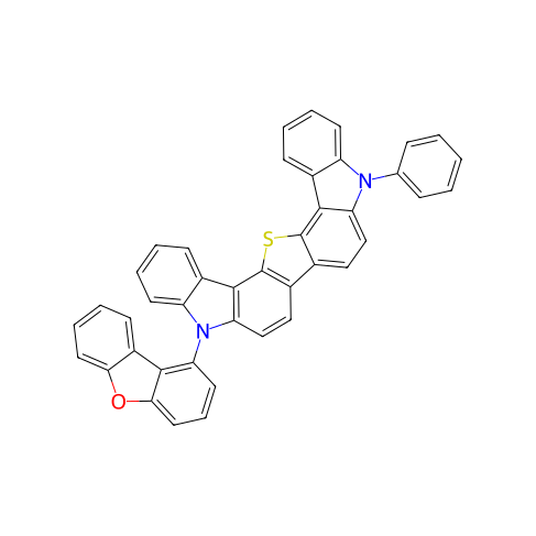 c1ccc(-n2c3ccccc3c3c4sc5c(ccc6c5c5ccccc5n6-c5cccc6oc7ccccc7c56)c4ccc32)cc1